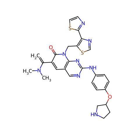 C=C(c1cc2cnc(Nc3ccc(OC4CCNC4)cc3)nc2n(Cc2scnc2-c2nccs2)c1=O)N(C)C